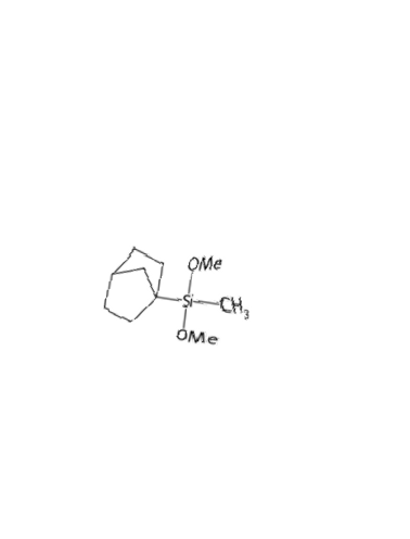 CO[Si](C)(OC)C12CCC(CC1)C2